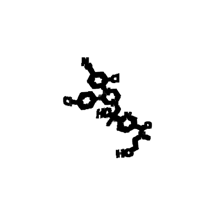 CN(CCO)C(=O)c1ccc([C@](C)(O)CN2CCN(c3ccc(C#N)cc3Cl)[C@H](c3ccc(Cl)cc3)C2)nc1